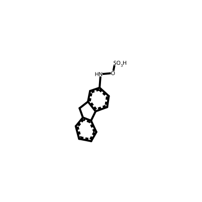 O=S(=O)(O)ONc1ccc2c(c1)Cc1ccccc1-2